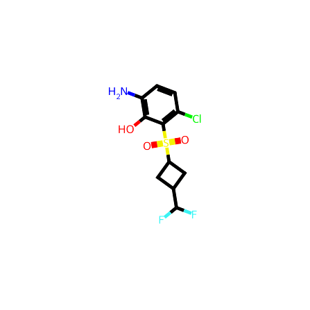 Nc1ccc(Cl)c(S(=O)(=O)C2CC(C(F)F)C2)c1O